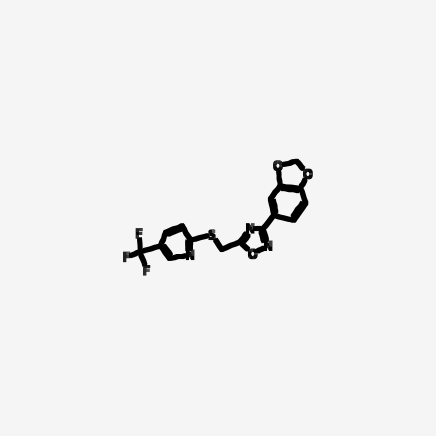 FC(F)(F)c1ccc(SCc2nc(-c3ccc4c(c3)OCO4)no2)nc1